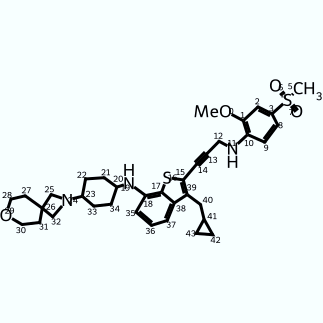 COc1cc(S(C)(=O)=O)ccc1NCC#Cc1sc2c(NC3CCC(N4CC5(CCOCC5)C4)CC3)cccc2c1CC1CC1